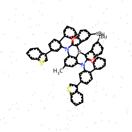 Cc1cc2c3c(c1)N(c1cc(-c4csc5ccccc45)ccc1-c1ccccc1)c1oc4ccc(C(C)(C)C)cc4c1B3c1c(oc3ccc(C(C)(C)C)cc13)N2c1cc(-c2csc3ccccc23)ccc1-c1ccccc1